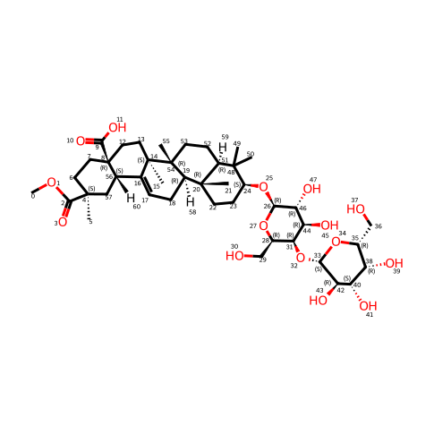 COC(=O)[C@@]1(C)CC[C@]2(C(=O)O)CC[C@]3(C)C(=CC[C@@H]4[C@@]5(C)CC[C@H](O[C@@H]6O[C@H](CO)[C@H](O[C@@H]7O[C@H](CO)[C@H](O)[C@H](O)[C@H]7O)[C@H](O)[C@H]6O)C(C)(C)[C@@H]5CC[C@]43C)[C@@H]2C1